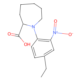 CCc1ccc(N2CCCCCC2C(=O)O)c([N+](=O)[O-])c1